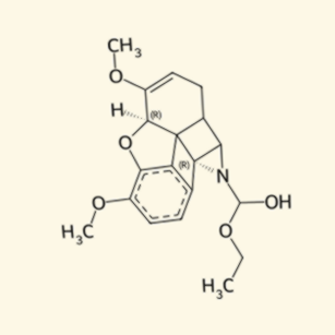 CCOC(O)N1C2C3CC=C(OC)[C@@H]4Oc5c(OC)ccc6c5C34[C@]621